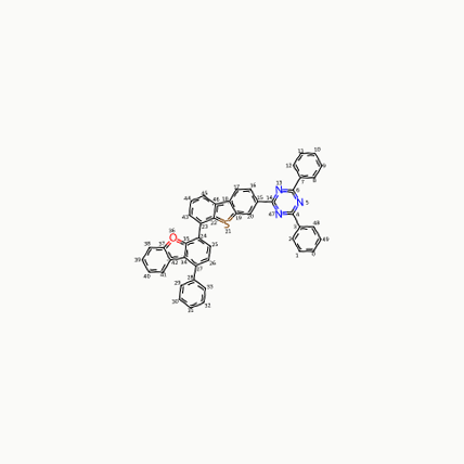 c1ccc(-c2nc(-c3ccccc3)nc(-c3ccc4c(c3)sc3c(-c5ccc(-c6ccccc6)c6c5oc5ccccc56)cccc34)n2)cc1